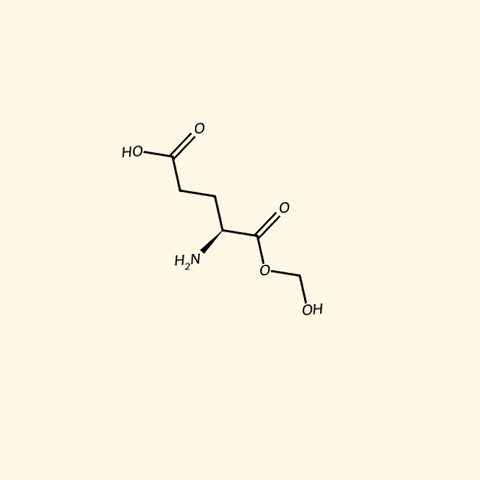 N[C@@H](CCC(=O)O)C(=O)OCO